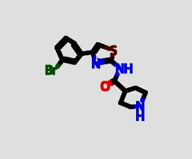 O=C(Nc1nc(-c2cccc(Br)c2)cs1)C1CCNCC1